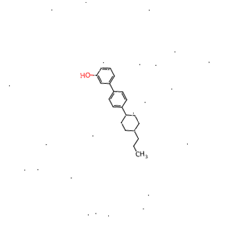 CCCC1CCC(c2ccc(-c3cccc(O)c3)cc2)CC1